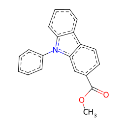 COC(=O)c1ccc2c3ccccc3n(-c3ccccc3)c2c1